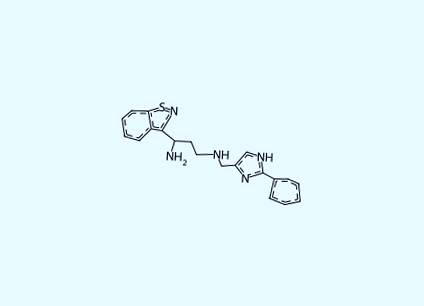 NC(CCNCc1c[nH]c(-c2ccccc2)n1)c1nsc2ccccc12